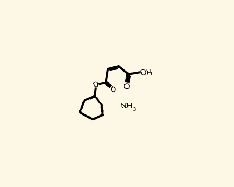 N.O=C(O)/C=C\C(=O)OC1CCCCC1